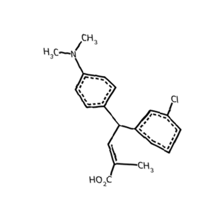 CC(=CC(c1ccc(N(C)C)cc1)c1cccc(Cl)c1)C(=O)O